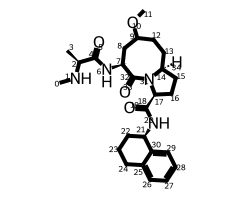 CN[C@@H](C)C(=O)N[C@H]1CC(OC)CC[C@H]2CC[C@@H](C(=O)N[C@@H]3CCCc4ccccc43)N2C1=O